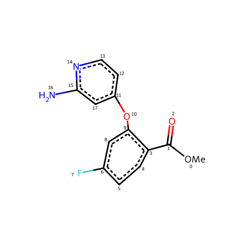 COC(=O)c1ccc(F)cc1Oc1ccnc(N)c1